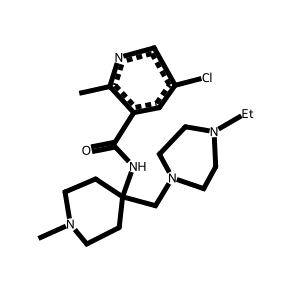 CCN1CCN(CC2(NC(=O)c3cc(Cl)cnc3C)CCN(C)CC2)CC1